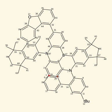 Cc1cc2c3c(c1)N(c1ccc(C(C)(C)C)cc1-c1ccccc1)c1cc4c(cc1B3c1ccc(-c3cccc5oc6ccccc6c35)cc1N2c1cc2c(cc1C)C(C)(C)CCC2(C)C)C(C)(C)CC4(C)C